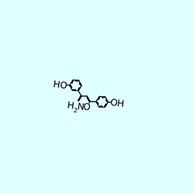 C=C(/C=C(\ON)c1ccc(O)cc1)c1cccc(O)c1